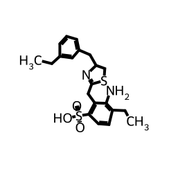 CCc1cccc(CC2CSC(Cc3c(S(=O)(=O)O)ccc(CC)c3N)=N2)c1